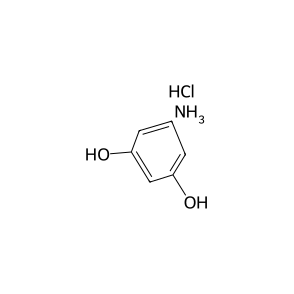 Cl.N.Oc1cccc(O)c1